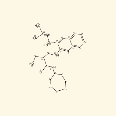 CCC(NC1CCCCCC1)C(CO)CNc1nc2ccccc2cc1C(=O)NC(C)N